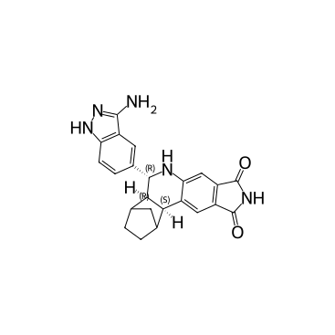 Nc1n[nH]c2ccc([C@@H]3Nc4cc5c(cc4[C@H]4C6CCC(C6)[C@@H]34)C(=O)NC5=O)cc12